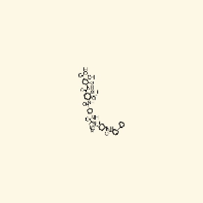 COc1c(NC(=O)c2ccc(NC(=O)c3ccc(NC(=O)C(CC#N)NC(=O)c4ccc(NC(=O)c5cccc(-c6ccccc6)c5)cc4)cc3)c(OC)c2O)ccc(C(=O)O)c1O